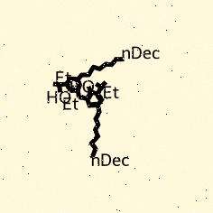 CCCCCCCCCCCCCCCCCCc1cc(C(CC)c2cc(CCCCCCCCCCCCCCCCCC)cc(C(C)(C)CC)c2O)c(O)c(C(C)(C)CC)c1